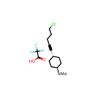 CN[C@H]1CC[C@H](C#CCCCCl)CC1.O=C(O)C(F)(F)F